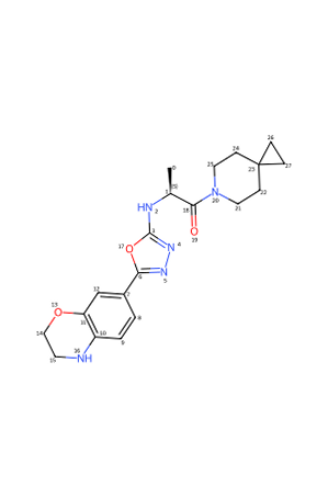 C[C@H](Nc1nnc(-c2ccc3c(c2)OCCN3)o1)C(=O)N1CCC2(CC1)CC2